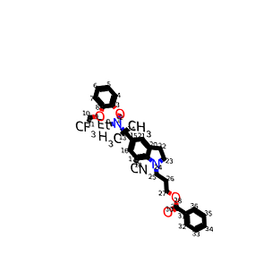 CCN(Oc1ccccc1OCC(F)(F)F)C(C)(C)c1cc(C#N)c2c(c1)CCN2CCCOC(=O)c1ccccc1